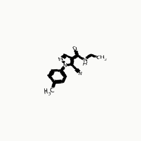 CCNC(=O)c1cnn(-c2ccc(C)cc2)c1C#N